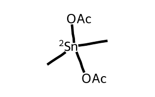 CC(=O)[O][2Sn]([CH3])([CH3])[O]C(C)=O